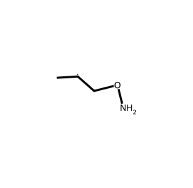 C[CH]CON